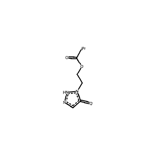 CC(C)C(=O)OCCn1[nH]ncc1=O